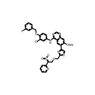 COc1cc2ncnc(Nc3ccc(OCc4cccc(F)c4)c(Cl)c3)c2cc1-c1csc(COCC(c2ccccn2)=S(=O)=O)n1